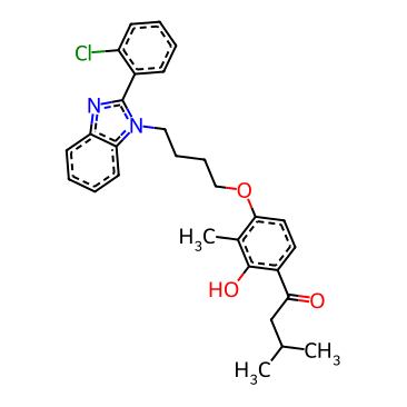 Cc1c(OCCCCn2c(-c3ccccc3Cl)nc3ccccc32)ccc(C(=O)CC(C)C)c1O